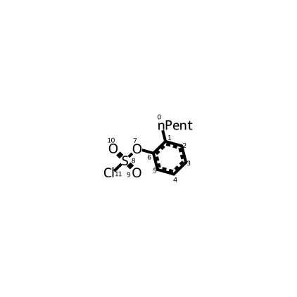 CCCCCc1ccccc1OS(=O)(=O)Cl